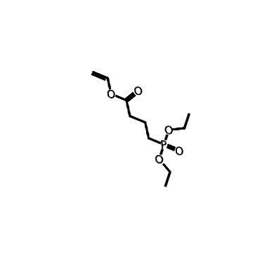 C=COC(=O)CCCP(=O)(OCC)OCC